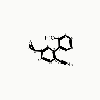 Cc1ccccc1-c1cc(C2CO2)ccc1C#N